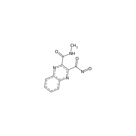 CNC(=O)c1nc2ccccc2nc1C(=O)N=O